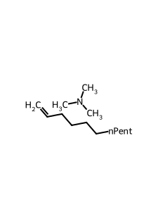 C=CCCCCCCCCC.CN(C)C